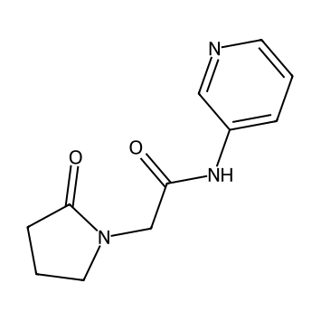 O=C(CN1CCCC1=O)Nc1cccnc1